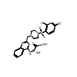 COC(=O)[C@@H](Nc1nc(CN2CCN(S(=O)(=O)c3ccc(Cl)cc3Cl)CC2)nc2ccccc12)C(C)C